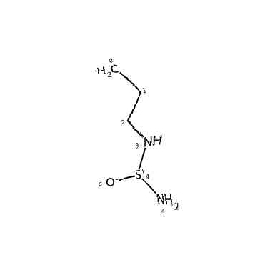 [CH2]CCN[S+](N)[O-]